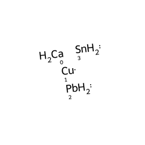 [CaH2].[Cu].[PbH2].[SnH2]